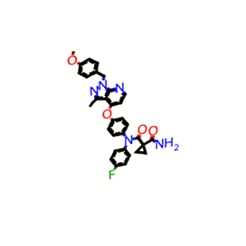 COc1ccc(Cn2nc(C)c3c(Oc4ccc(N(C(=O)C5(C(N)=O)CC5)c5ccc(F)cc5)cc4)ccnc32)cc1